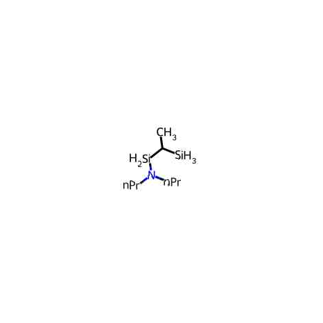 CCCN(CCC)[SiH2]C(C)[SiH3]